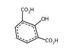 O=C(O)c1c[c]cc(C(=O)O)c1O